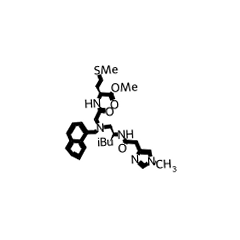 CC[C@H](C)[C@@H](CN(CC(=O)N[C@@H](CCSC)C(=O)OC)Cc1cccc2ccccc12)NC(=O)Cc1cn(C)cn1